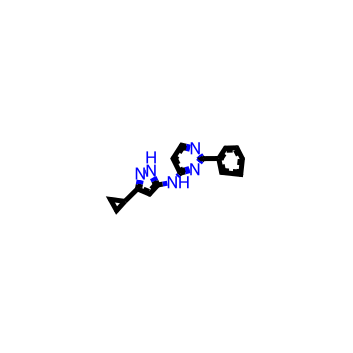 c1ccc(-c2nccc(Nc3cc(C4CC4)n[nH]3)n2)cc1